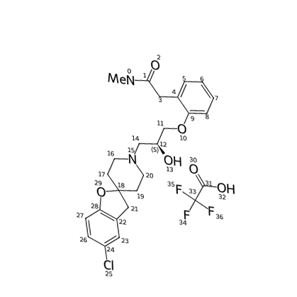 CNC(=O)Cc1ccccc1OC[C@@H](O)CN1CCC2(CC1)Cc1cc(Cl)ccc1O2.O=C(O)C(F)(F)F